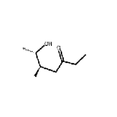 CCC(=O)C[C@@H](C)[C@H](C)O